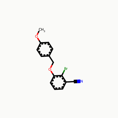 COc1ccc(COc2cccc(C#N)c2Br)cc1